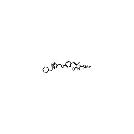 CSC1=NC(=O)/C(=C\c2ccc(OCc3cn(CC4CCCCC4)nn3)cc2)S1